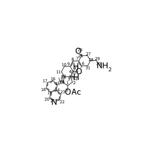 CC(=O)OC1C[C@H]2[C@@H]3OC4=C(C=C3CC[C@]2(C)[C@H]1c1cccc2cnccc12)C(=O)CC(CN)C4